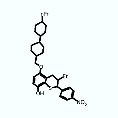 CCCC1CCC(C2CCC(COc3ccc(O)c4c3CC(CC)C(c3ccc([N+](=O)[O-])cc3)S4)CC2)CC1